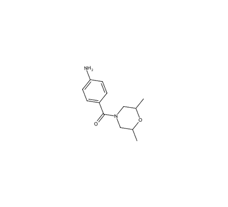 CC1CN(C(=O)c2ccc(N)cc2)CC(C)O1